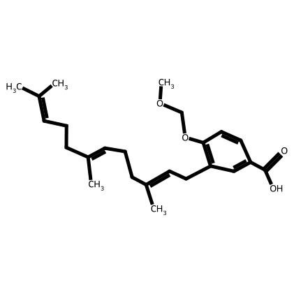 COCOc1ccc(C(=O)O)cc1C/C=C(\C)CC/C=C(\C)CCC=C(C)C